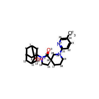 O=C1N(C23CC4CC(C2)C(O)C(C4)C3)CC[C@@]12CCCN(c1ccc(C(F)(F)F)cn1)C2